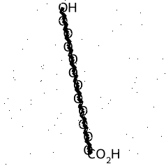 O=C(O)OCCOCCOCCOCCOCCOCCOCCOCCOCCOCCOCCO